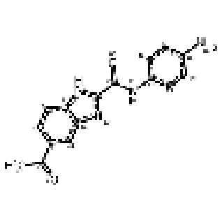 CC(=O)c1ccc2[nH]c(C(=O)Nc3ccc(N)cc3)nc2c1